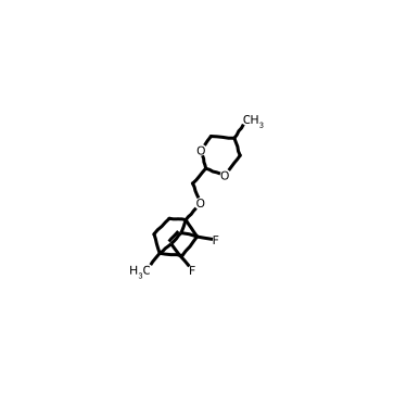 CC1COC(COC23CCC(C)(CC2)C(F)=C3F)OC1